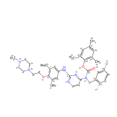 COc1cc(Nc2nccc(N(Cc3cc(Cl)ccc3F)C(=O)Oc3c(C)cc(C)cc3C)n2)cc(OC)c1OCCN1CCN(C)CC1